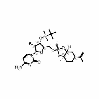 C=C(C)[C@H]1CC[C@@]2(C)SP(=S)(OC[C@H]3O[C@@H](n4ccc(N)nc4=O)[C@H](F)[C@@H]3O[Si](C)(C)C(C)(C)C)O[C@@H]2C1